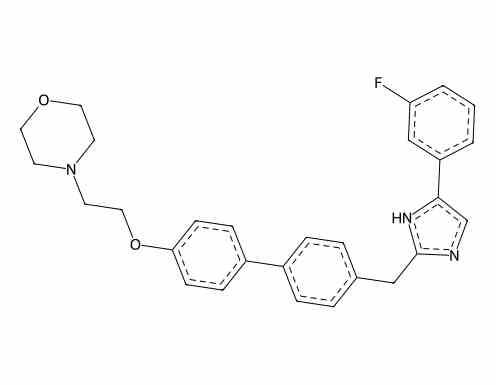 Fc1cccc(-c2cnc(Cc3ccc(-c4ccc(OCCN5CCOCC5)cc4)cc3)[nH]2)c1